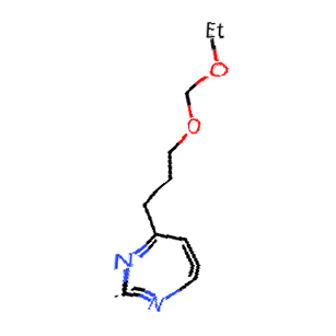 CCOCOCCCc1ccn[c]n1